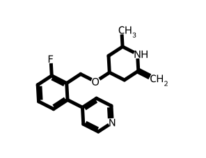 C=C1CC(OCc2c(F)cccc2-c2ccncc2)CC(C)N1